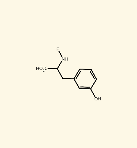 O=C(O)C(Cc1cccc(O)c1)NF